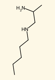 CCCCCNCC(C)N